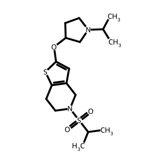 CC(C)N1CCC(Oc2cc3c(s2)CCN(S(=O)(=O)C(C)C)C3)C1